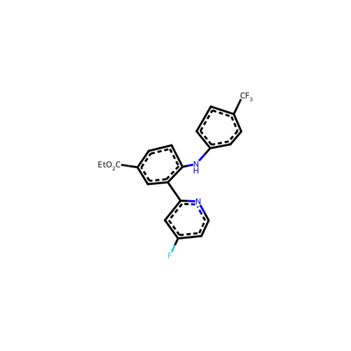 CCOC(=O)c1ccc(Nc2ccc(C(F)(F)F)cc2)c(-c2cc(F)ccn2)c1